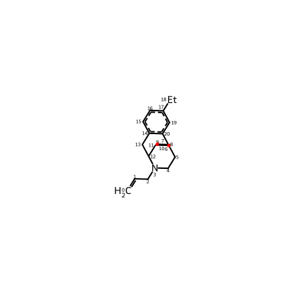 C=CCN1CCC23CCCCC2C1Cc1ccc(CC)cc13